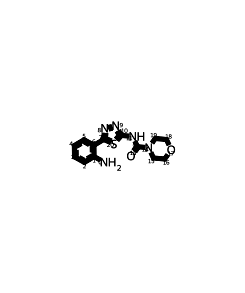 Nc1ccccc1-c1nnc(NC(=O)N2CCOCC2)s1